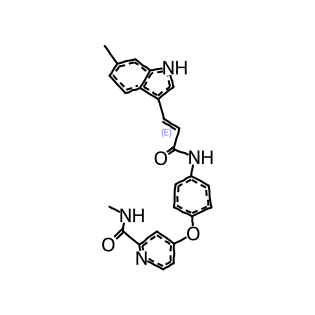 CNC(=O)c1cc(Oc2ccc(NC(=O)/C=C/c3c[nH]c4cc(C)ccc34)cc2)ccn1